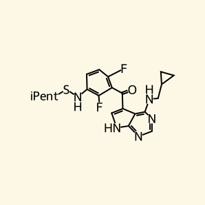 CCCC(C)SNc1ccc(F)c(C(=O)c2c[nH]c3ncnc(NCC4CC4)c23)c1F